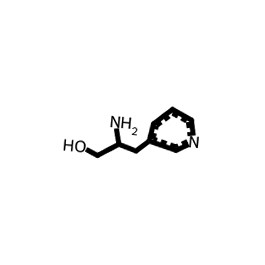 NC(CO)Cc1cccnc1